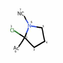 CC(=O)C1(Cl)CCCN1C#N